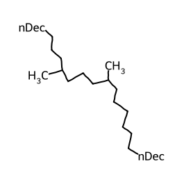 CCCCCCCCCCCCCCCCC(C)CCCC(C)CCCCCCCCCCCCC